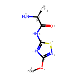 CCCCOc1nsc(NC(=O)[C@H](C)N)n1